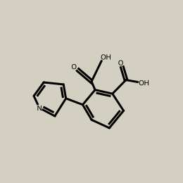 O=C(O)c1cccc(-c2cccnc2)c1C(=O)O